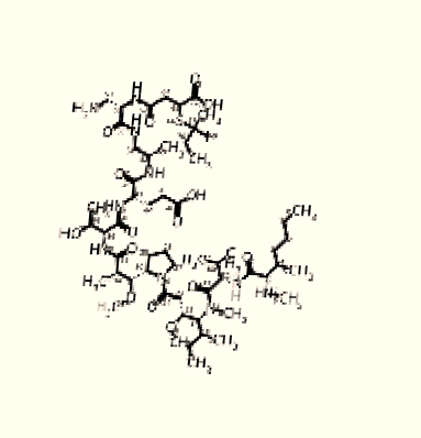 CCCCC(C)[C@H](NC)C(=O)N[C@H](C(=O)N(C)[C@@H]([C@@H](C)CC)[C@@H](CC(=O)N1CCC[C@H]1C(OC)[C@@H](C)C(=O)N[C@H](C(=O)N[C@@H](CCC(=O)O)C(=O)N[C@H](C)CNC(=O)[C@H](CN)NC(=O)CC(SC(C)(I)CC)C(=O)O)C(C)O)OC)C(C)C